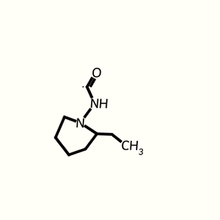 CCC1CCCCN1N[C]=O